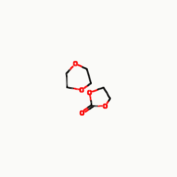 C1COCCO1.O=C1OCCO1